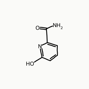 NC(=O)c1cccc(O)n1